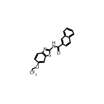 O=C(Nc1nc2ccc(OCC(F)(F)F)cc2s1)c1ccc2ccccc2c1